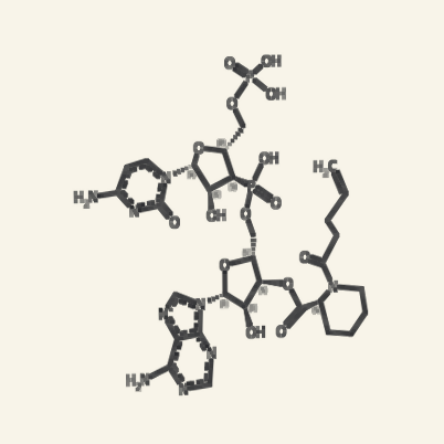 C=CCCC(=O)N1CCCC[C@H]1C(=O)O[C@H]1[C@@H](O)[C@H](n2cnc3c(N)ncnc32)O[C@@H]1COP(=O)(O)[C@H]1[C@@H](O)[C@H](n2ccc(N)nc2=O)O[C@@H]1COP(=O)(O)O